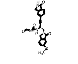 COc1ccc2c(c1)C(=O)N(C[C@@H](C#Cc1ccc3c(c1)CNC3=O)NC(=O)NC=O)C2